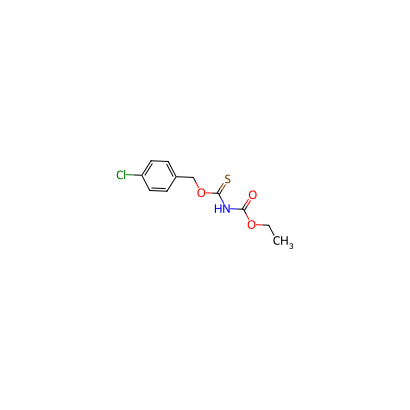 CCOC(=O)NC(=S)OCc1ccc(Cl)cc1